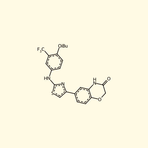 CC(C)COc1ccc(Nc2nc(-c3ccc4c(c3)NC(=O)CO4)cs2)cc1C(F)(F)F